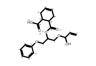 C=CC(O)OCC(COc1ccccc1)OC(=O)C1CC=CCC1C(=O)O